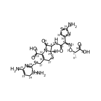 C[C@H](O/N=C(\C(=O)NC1C(=O)N2C(C(=O)O)=C(CSC3=NC(N)=CCN3N)CS[C@@H]12)c1csc(N)n1)C(=O)O